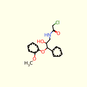 COc1ccccc1OC(c1ccccc1)C(O)CNC(=O)CCl